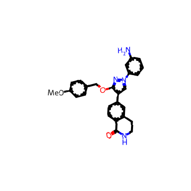 COc1ccc(COc2nn(-c3cccc(N)c3)cc2-c2ccc3c(c2)CCNC3=O)cc1